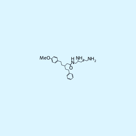 COc1ccc(CCC(CCc2ccccc2)CC(=O)NCC(N)CCCN)cc1